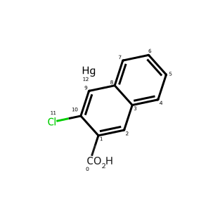 O=C(O)c1cc2ccccc2cc1Cl.[Hg]